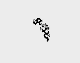 CCc1ccc(-c2cnc(NCc3c(F)ccc4c3CCO4)n3cnnc23)c(C)n1